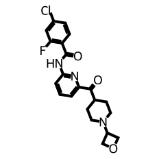 O=C(Nc1cccc(C(=O)C2CCN(C3COC3)CC2)n1)c1ccc(Cl)cc1F